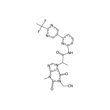 CC(C(=O)Nc1cccc(-c2cnc(C(C)(F)F)nc2)n1)n1cnc2c1c(=O)n(CC#N)c(=O)n2C